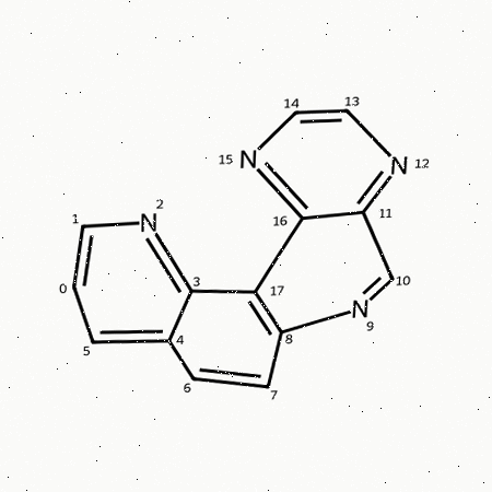 c1cnc2c(c1)ccc1ncc3nccnc3c12